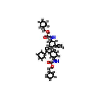 C=C(c1ccccc1)c1cc(NC(=O)OCc2ccccc2)ccc1-c1ccc(NC(=O)OCc2ccccc2)cc1C